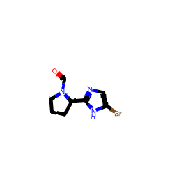 O=CN1CCCC1c1ncc(Br)[nH]1